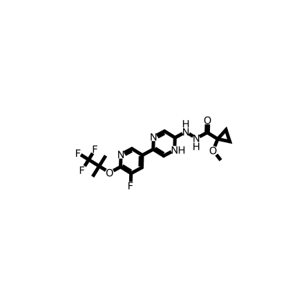 COC1(C(=O)NNC2C=NC(c3cnc(OC(C)(C)C(F)(F)F)c(F)c3)=CN2)CC1